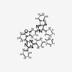 C1=CC(c2ccccc2)=CC(c2nc(-c3ccc4c(c3)oc3cccc(-c5nc(-c6ccccc6)nc(-c6ccccc6)n5)c34)nc3c2sc2ccccc23)C1